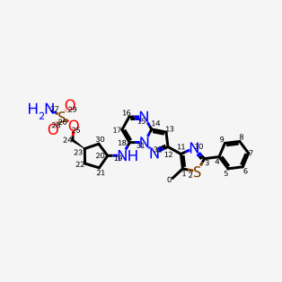 Cc1sc(-c2ccccc2)nc1-c1cc2nccc(NC3CC[C@@H](COS(N)(=O)=O)C3)n2n1